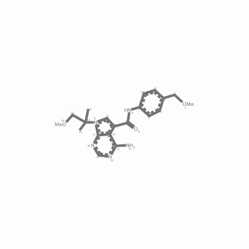 COCc1ccc(NC(=O)c2cn(C(C)(C)COC)c3ncnc(N)c23)cc1